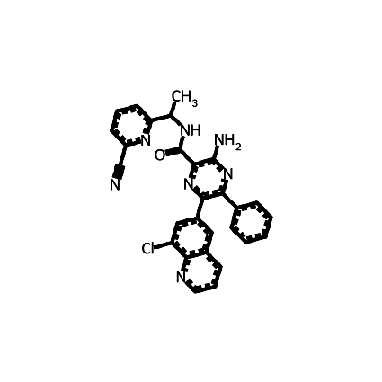 CC(NC(=O)c1nc(-c2cc(Cl)c3ncccc3c2)c(-c2ccccc2)nc1N)c1cccc(C#N)n1